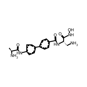 C[C@H](N)C(=O)Nc1ccc(-c2ccc(C(=O)N[C@@H](CN)C(=O)NO)cc2)cc1